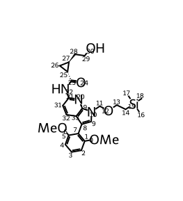 COc1cccc(OC)c1-c1cn(COCC[Si](C)(C)C)c2nc(NC(=O)[C@@H]3C[C@H]3CCO)ccc12